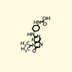 CC(C)n1c(=O)cnc2cnc(N[C@H]3CC[C@H](NC(=O)O)CC3)nc21